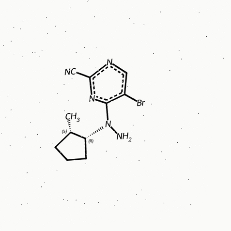 C[C@H]1CCC[C@H]1N(N)c1nc(C#N)ncc1Br